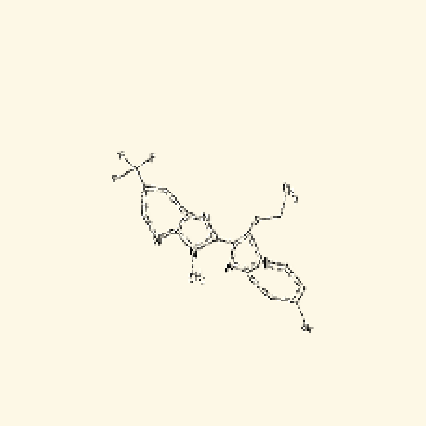 CCSc1c(-c2nc3cc(C(F)(F)F)cnc3n2C)nc2cc(Br)ccn12